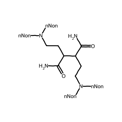 CCCCCCCCCN(CCCCCCCCC)CCC(C(N)=O)C(CCN(CCCCCCCCC)CCCCCCCCC)C(N)=O